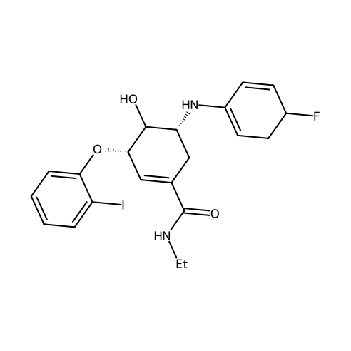 CCNC(=O)C1=C[C@H](Oc2ccccc2I)C(O)[C@H](NC2=CCC(F)C=C2)C1